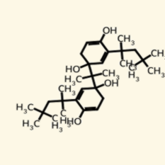 CC(C)(C)CC(C)(C)C1=CC(O)(C(C)(C)C2(O)C=C(C(C)(C)CC(C)(C)C)C(O)=CC2)CC=C1O